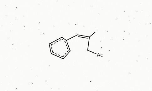 CC(=O)CC(C)=Cc1ccccc1